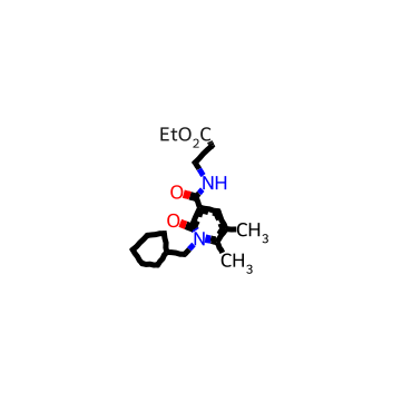 CCOC(=O)CCNC(=O)c1cc(C)c(C)n(CC2CCCCC2)c1=O